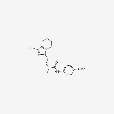 COc1ccc(NC(=O)C(C)CCn2nc(C(F)(F)F)c3c2CCCC3)cc1